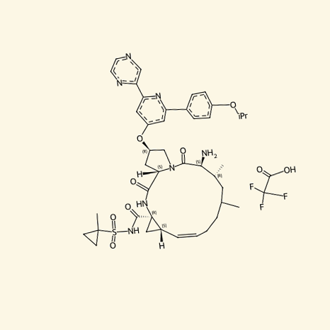 CC1CCC=C[C@@H]2C[C@@]2(C(=O)NS(=O)(=O)C2(C)CC2)NC(=O)[C@@H]2C[C@@H](Oc3cc(-c4ccc(OC(C)C)cc4)nc(-c4cnccn4)c3)CN2C(=O)[C@@H](N)[C@H](C)C1.O=C(O)C(F)(F)F